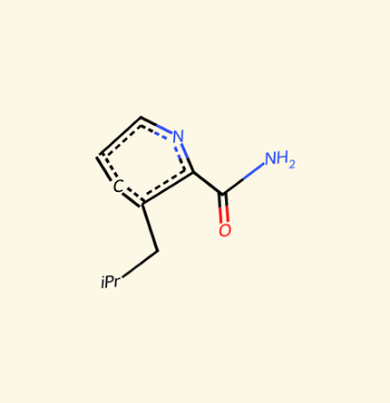 CC(C)Cc1cccnc1C(N)=O